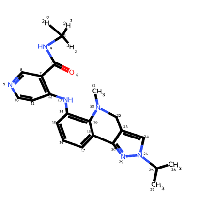 [2H]C([2H])([2H])NC(=O)c1cnccc1Nc1cccc2c1N(C)Cc1cn(C(C)C)nc1-2